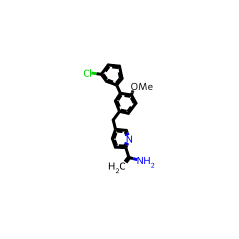 C=C(N)c1ccc(Cc2ccc(OC)c(-c3cccc(Cl)c3)c2)cn1